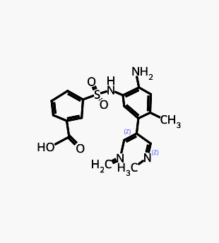 C=N/C=C(\C=N/C)c1cc(NS(=O)(=O)c2cccc(C(=O)O)c2)c(N)cc1C